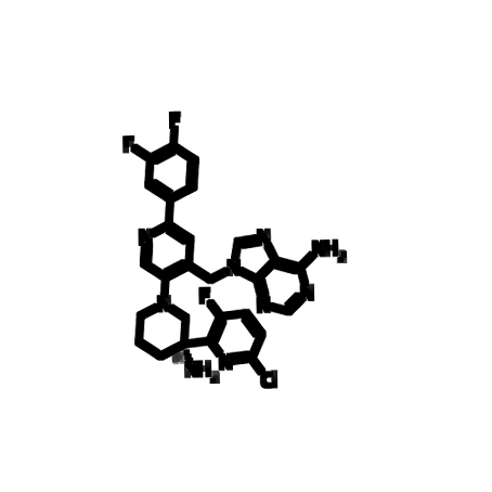 Nc1ncnc2c1ncn2Cc1cc(-c2ccc(F)c(F)c2)ncc1N1CCC[C@](N)(c2nc(Cl)ccc2F)C1